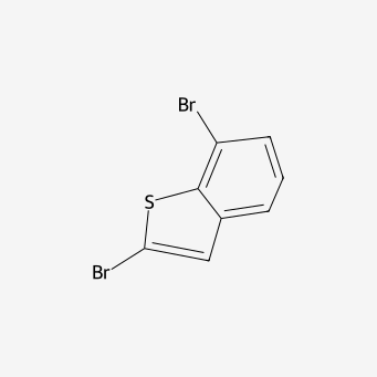 Brc1cc2cccc(Br)c2s1